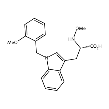 CON[C@@H](Cc1cn(Cc2ccccc2OC)c2ccccc12)C(=O)O